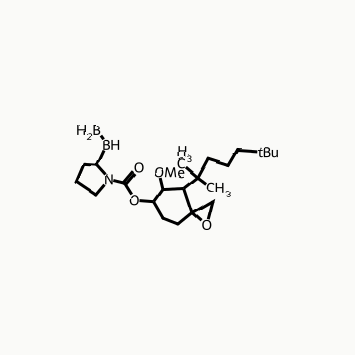 BBC1CCCN1C(=O)OC1CCC2(CO2)C(C(C)(C)CCCC(C)(C)C)C1OC